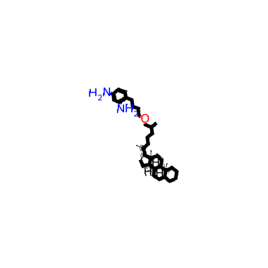 CC(CCC[C@@H](C)[C@H]1CC[C@H]2[C@@H]3CCC4CCCC[C@]4(C)[C@H]3CC[C@]12C)COCCCCc1ccc(N)cc1N